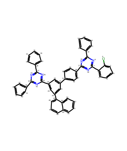 Clc1ccccc1-c1nc(-c2ccccc2)nc(-c2ccc(-c3cc(-c4nc(-c5ccccc5)nc(-c5ccccc5)n4)cc(-c4cccc5ccccc45)c3)cc2)n1